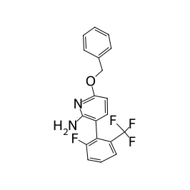 Nc1nc(OCc2ccccc2)ccc1-c1c(F)cccc1C(F)(F)F